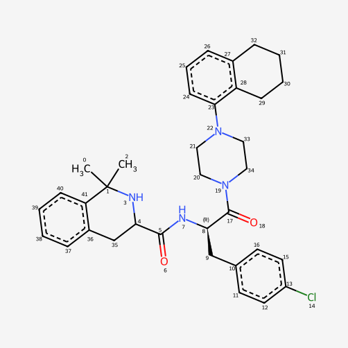 CC1(C)NC(C(=O)N[C@H](Cc2ccc(Cl)cc2)C(=O)N2CCN(c3cccc4c3CCCC4)CC2)Cc2ccccc21